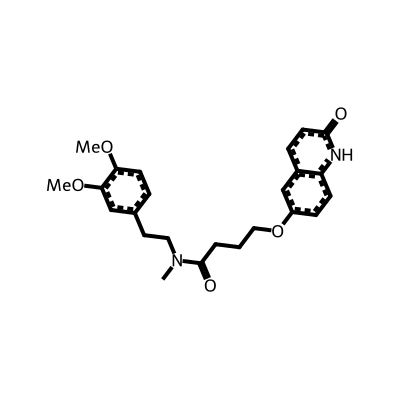 COc1ccc(CCN(C)C(=O)CCCOc2ccc3[nH]c(=O)ccc3c2)cc1OC